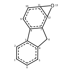 c1ccc2c(c1)Cc1c-2ccc2c1O2